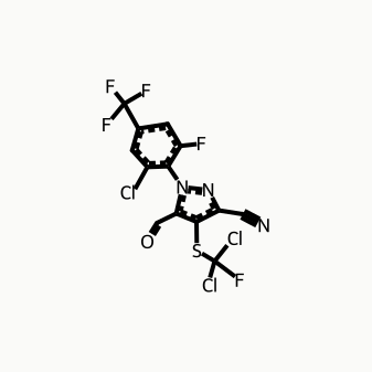 N#Cc1nn(-c2c(F)cc(C(F)(F)F)cc2Cl)c(C=O)c1SC(F)(Cl)Cl